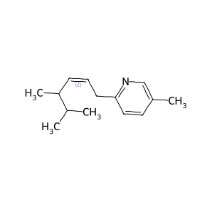 Cc1ccc(C/C=C\C(C)C(C)C)nc1